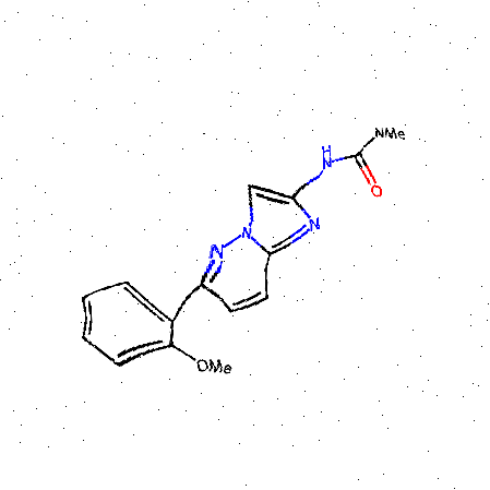 CNC(=O)Nc1cn2nc(-c3ccccc3OC)ccc2n1